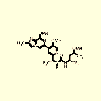 CCN(C(=O)N[C@@H](CC(OC)C(F)(F)F)C(F)(F)F)[C@@H](c1cc(-c2cn3cc(C)nc3c(OC)n2)c(OC)cn1)C(F)(F)F